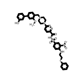 COc1cc(-c2cccc(O)c2)ccc1CN1CCN(c2ccc(C(=O)NS(=O)(=O)c3ccc(NCCSc4ccccc4)c([N+](=O)[O-])c3)nn2)CC1